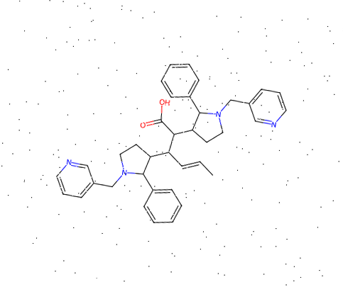 CC=CC(C1CCN(Cc2cccnc2)C1c1ccccc1)C(C(=O)O)C1CCN(Cc2cccnc2)C1c1ccccc1